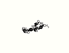 COc1ccc(Cn2nc(NC3CCN(C(=O)O)C3)c3c(Oc4ccc(C(=O)Nc5cc(OC)ccn5)cc4)ccnc32)cc1